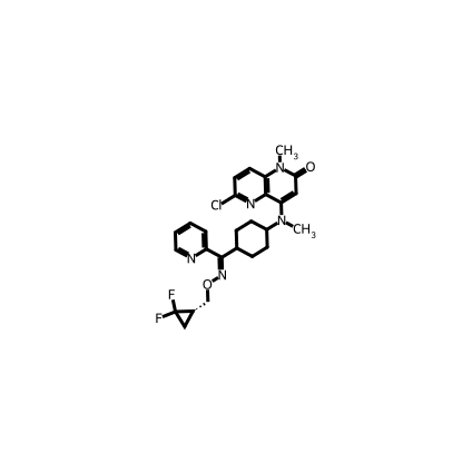 CN(c1cc(=O)n(C)c2ccc(Cl)nc12)C1CCC(/C(=N/OC[C@@H]2CC2(F)F)c2ccccn2)CC1